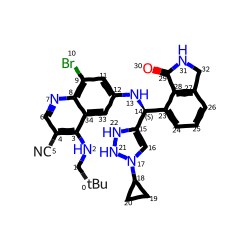 CC(C)(C)CNc1c(C#N)cnc2c(Br)cc(N[C@H](C3=CN(C4CC4)NN3)c3cccc4c3C(=O)NC4)cc12